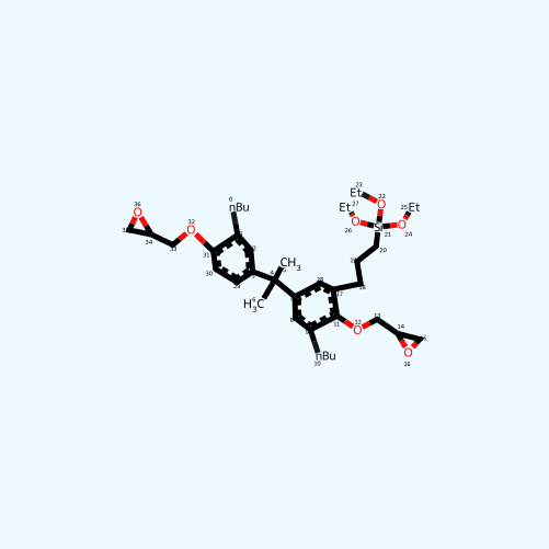 CCCCc1cc(C(C)(C)c2cc(CCCC)c(OCC3CO3)c(CCC[Si](OCC)(OCC)OCC)c2)ccc1OCC1CO1